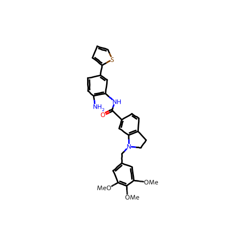 COc1cc(CN2CCc3ccc(C(=O)Nc4cc(-c5cccs5)ccc4N)cc32)cc(OC)c1OC